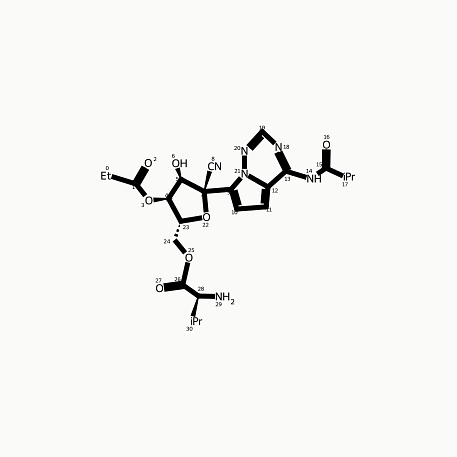 CCC(=O)O[C@H]1[C@@H](O)[C@](C#N)(c2ccc3c(NC(=O)C(C)C)ncnn23)O[C@@H]1COC(=O)[C@@H](N)C(C)C